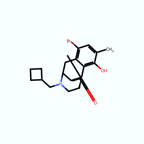 Cc1cc(Br)c2c(c1O)[C@@]13CCN(CC4CCC4)C(C2)C1CCC(=O)C3